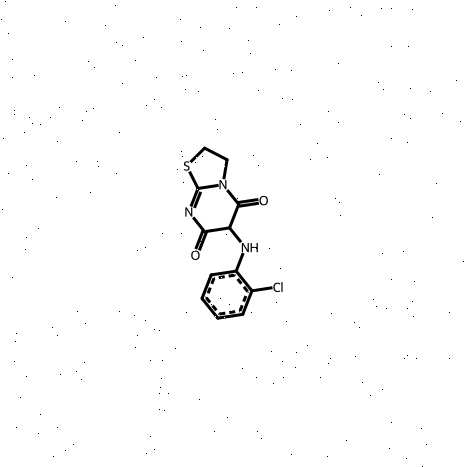 O=C1N=C2SCCN2C(=O)C1Nc1ccccc1Cl